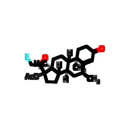 CC(=O)O[C@]1(C(=O)CF)CC[C@H]2[C@@H]3C[C@H](C)C4=CC(=O)CC[C@]4(C)[C@H]3CC[C@@]21C